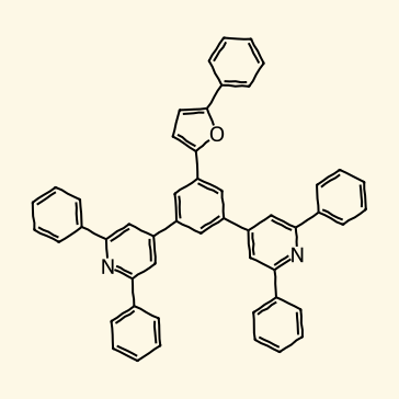 c1ccc(-c2cc(-c3cc(-c4cc(-c5ccccc5)nc(-c5ccccc5)c4)cc(-c4ccc(-c5ccccc5)o4)c3)cc(-c3ccccc3)n2)cc1